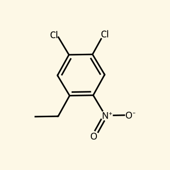 CCc1cc(Cl)c(Cl)cc1[N+](=O)[O-]